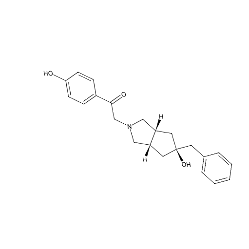 O=C(CN1C[C@@H]2C[C@](O)(Cc3ccccc3)C[C@@H]2C1)c1ccc(O)cc1